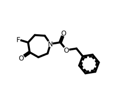 O=C1CCN(C(=O)OCc2ccccc2)CCC1F